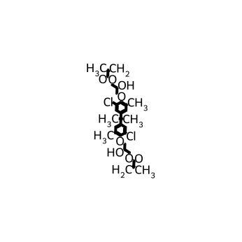 C=C(C)C(=O)OCC(O)COc1c(C)cc(C(C)(C)c2cc(C)c(OCC(O)COC(=O)C(=C)C)c(Cl)c2)cc1Cl